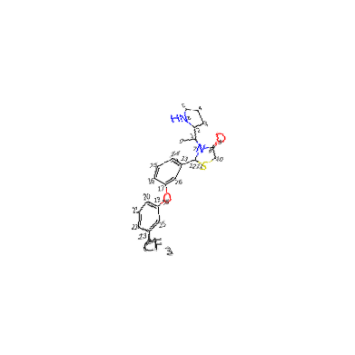 CC(C1CCCN1)N1C(=O)CSC1c1cccc(Oc2cccc(C(F)(F)F)c2)c1